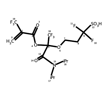 C=C(C(=O)OC(OCCC(F)(F)S(=O)(=O)O)(C(=O)N(C(C)C)C(C)C)C(F)(F)F)C(F)(F)F